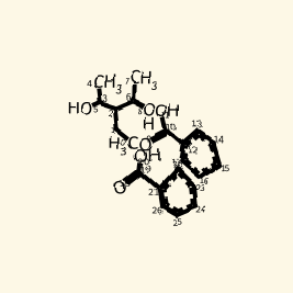 CCC(C(C)O)C(C)O.O=C(O)c1ccccc1.O=C(O)c1ccccc1